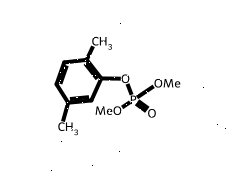 COP(=O)(OC)Oc1cc(C)ccc1C